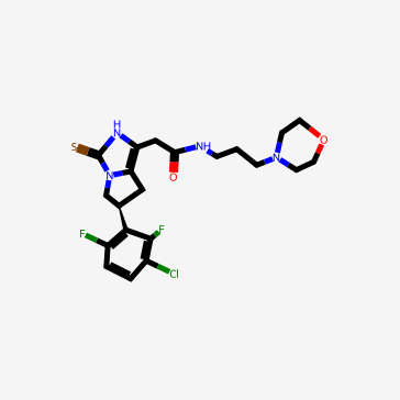 O=C(Cc1[nH]c(=S)n2c1C[C@@H](c1c(F)ccc(Cl)c1F)C2)NCCCN1CCOCC1